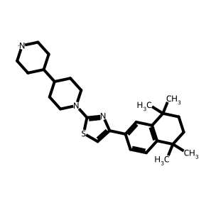 CC1(C)CCC(C)(C)c2cc(-c3csc(N4CCC(C5CC[N]CC5)CC4)n3)ccc21